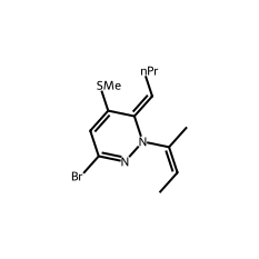 C/C=C(/C)N1N=C(Br)C=C(SC)/C1=C\CCC